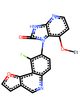 CCOc1ccnc2[nH]c(=O)n(-c3ccc4ncc5ccoc5c4c3F)c12